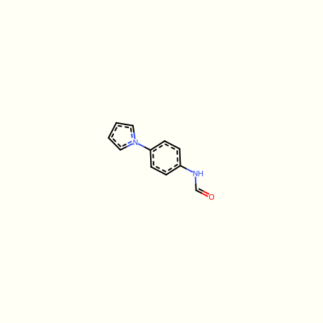 O=CNc1ccc(-n2cccc2)cc1